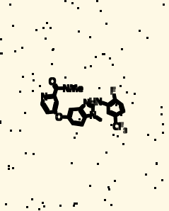 CNC(=O)c1cc(Oc2ccc3c(c2)nc(Nc2cc(C(F)(F)F)ccc2F)n3C)ccn1